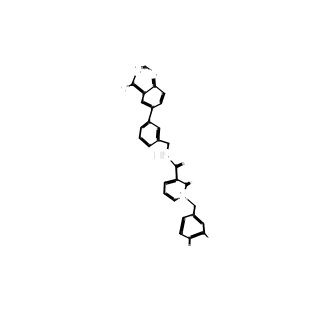 Nc1ncnc2ccc(-c3cccc(CNC(=O)c4cccn(Cc5ccc(F)c(F)c5)c4=O)c3)cc12